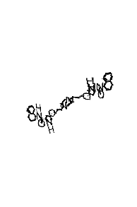 O=C(N[C@@H]1CCCc2ccccc21)[C@@H]1C[C@H](OCCCN2CCN(CCCO[C@@H]3CN[C@H](C(=O)N[C@@H]4CCCc5ccccc54)C3)CC2)CN1